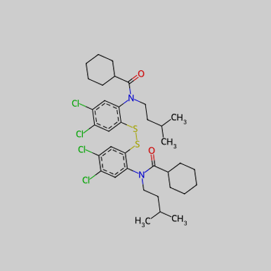 CC(C)CCN(C(=O)C1CCCCC1)c1cc(Cl)c(Cl)cc1SSc1cc(Cl)c(Cl)cc1N(CCC(C)C)C(=O)C1CCCCC1